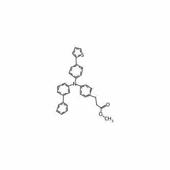 COC(=O)CCc1ccc(N(c2ccc(-c3cccs3)cc2)c2cccc(-c3ccccc3)c2)cc1